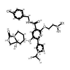 CCN(CC)CCOc1nc(-c2cnn(C(F)F)c2)c(O[C@H]2CCN3C(=O)OC[C@@H]3C2)cc1C(=O)NCc1ccc(Cl)cc1